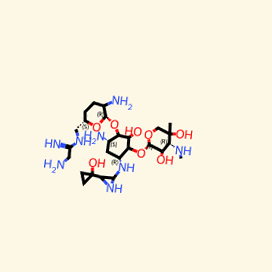 CN[C@@H]1C(O)[C@@H](OC2C(O)C(O[C@H]3O[C@H](CNC(=N)CN)CCC3N)[C@@H](N)C[C@H]2NC2NC2C2(O)CC2)OCC1(C)O